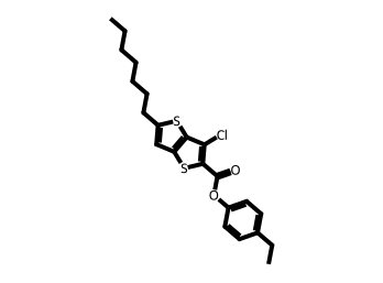 CCCCCCCc1cc2sc(C(=O)Oc3ccc(CC)cc3)c(Cl)c2s1